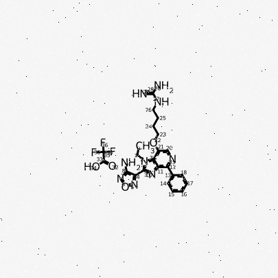 CCn1c(-c2nonc2N)nc2c(-c3ccccc3)ncc(OCCCCNC(=N)N)c21.O=C(O)C(F)(F)F